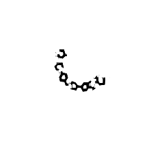 O=C1CCC(N2Cc3cc(C4CCN(Cc5ccc(N6CCC(Oc7cc(Cl)ccn7)CC6)cc5)CC4)ccc3C2=O)C(=O)N1